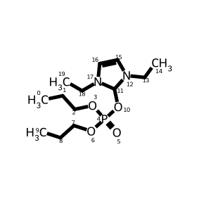 CCCOP(=O)(OCCC)OC1N(CC)C=CN1CC